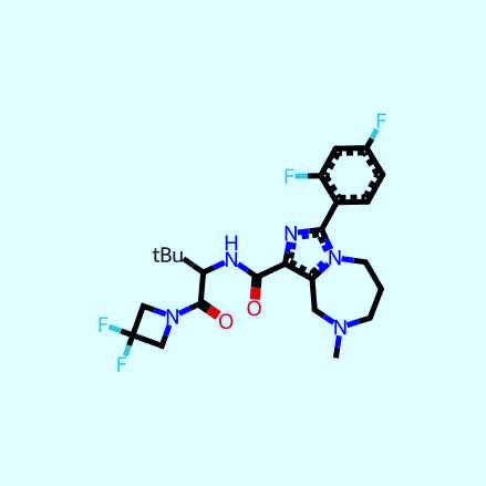 CN1CCCn2c(-c3ccc(F)cc3F)nc(C(=O)NC(C(=O)N3CC(F)(F)C3)C(C)(C)C)c2C1